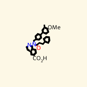 COc1ccc(-c2ccc(CN(C(=O)CCc3ccccc3)c3nccc4cc(C(=O)O)ccc34)cc2)cc1C